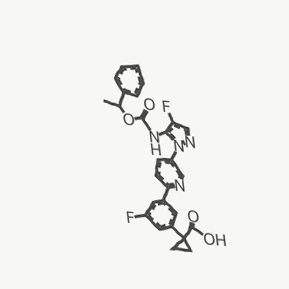 CC(OC(=O)Nc1c(F)cnn1-c1ccc(-c2cc(F)cc(C3(C(=O)O)CC3)c2)nc1)c1ccccc1